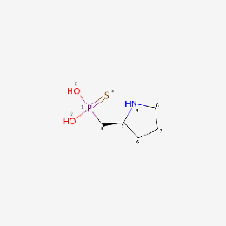 OP(O)(=S)C[C@@H]1CCCN1